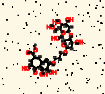 COC(=O)c1cc(O)c(=O)c2c(O)c(O)c(OCCCO[C@H]3C[C@@H](O)[C@H](O[C@H]4C[C@@H](O)[C@@H](O)[C@@H](CO)O4)[C@@H](CO)O3)cc2c1